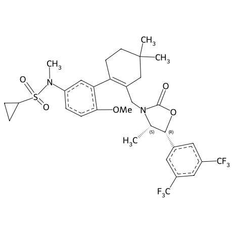 COc1ccc(N(C)S(=O)(=O)C2CC2)cc1C1=C(CN2C(=O)O[C@H](c3cc(C(F)(F)F)cc(C(F)(F)F)c3)[C@@H]2C)CC(C)(C)CC1